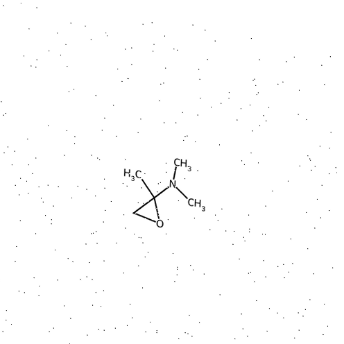 CN(C)C1(C)CO1